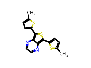 Cc1ccc(-c2sc(-c3ccc(C)s3)c3nccnc23)s1